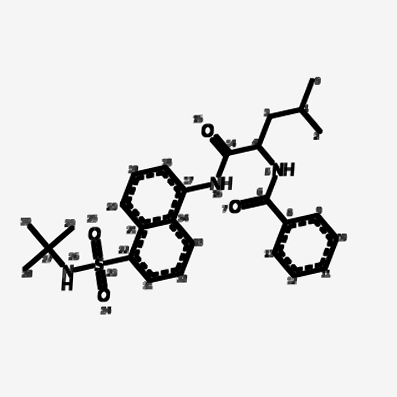 CC(C)CC(NC(=O)c1ccccc1)C(=O)Nc1cccc2c(S(=O)(=O)NC(C)(C)C)cccc12